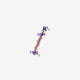 CNC(=O)CCOCCOCCOCCOCCNC(=O)CCCN(C)I